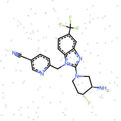 N#Cc1ccc(Cn2c(N3CC[C@@H](F)[C@H](N)C3)nc3cc(C(F)(F)F)ccc32)nc1